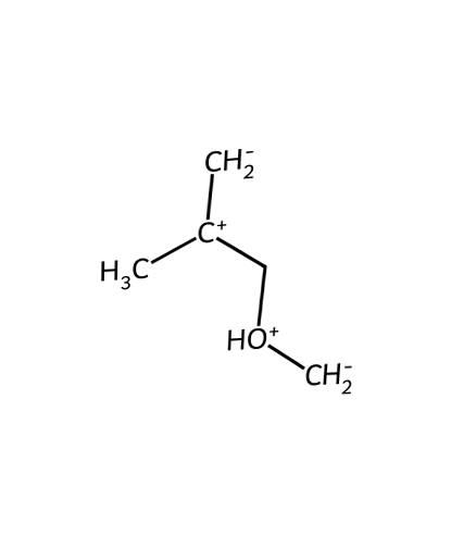 [CH2-][OH+]C[C+]([CH2-])C